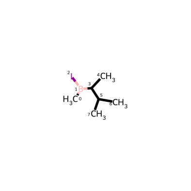 CB(I)C(C)C(C)C